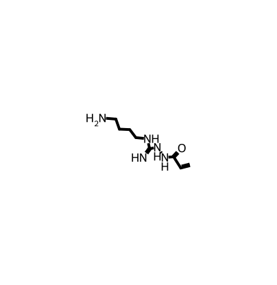 C=CC(=O)NNC(=N)NCCCCN